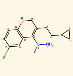 CN(N)C1=C(CCC2CC2)COc2ccc(Cl)cc21